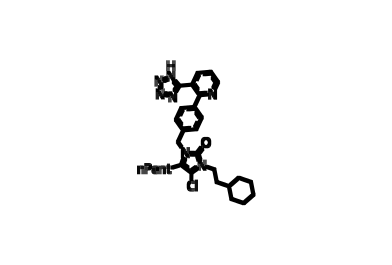 CCCCCc1c(Cl)n(CCC2CCCCC2)c(=O)n1Cc1ccc(-c2ncccc2-c2nnn[nH]2)cc1